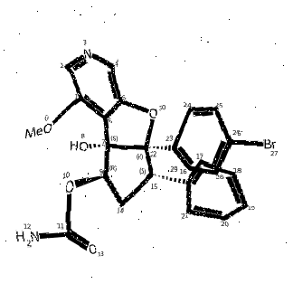 COc1cncc2c1[C@]1(O)[C@H](OC(N)=O)C[C@@H](c3ccccc3)[C@]1(c1ccc(Br)cc1)O2